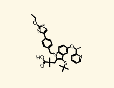 CCOc1nc(-c2ccc(Cn3c(CC(C)(C)C(=O)O)c(SC(C)(C)C)c4cc(O[C@@H](C)c5ccccn5)ccc43)cc2)cs1